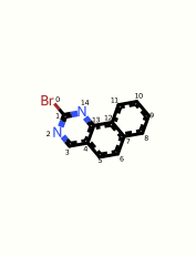 Brc1ncc2ccc3ccccc3c2n1